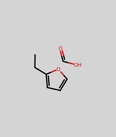 CCc1ccco1.O=CO